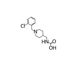 O=C(O)NCC1CCN(Cc2ccccc2Cl)CC1